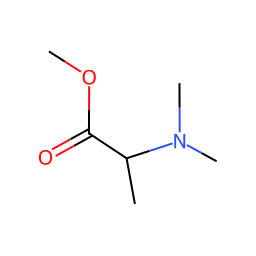 COC(=O)C(C)N(C)C